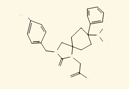 COc1ccc(CN2CC3(CCC(c4ccccc4)(N(C)C)CC3)N(CC(N)=O)C2=O)cc1